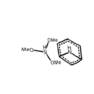 CO[SiH](OC)OC.c1cc2cc(c1)N2